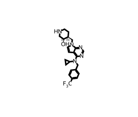 O[C@@H]1CNCC[C@H]1Cn1ccc2c(N(Cc3ccc(C(F)(F)F)cc3)C3CC3)ncnc21